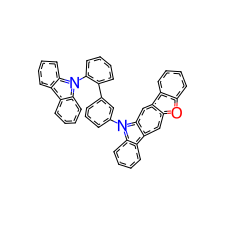 c1cc(-c2ccccc2-n2c3ccccc3c3ccccc32)cc(-n2c3ccccc3c3cc4oc5ccccc5c4cc32)c1